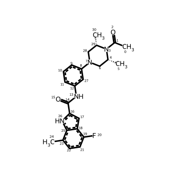 CC(=O)N1[C@H](C)CN(c2cccc(NC(=O)c3cc4c(F)ccc(C)c4[nH]3)c2)C[C@@H]1C